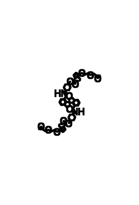 O=C(OC1CCC(NC(=O)c2cccc3c2C2(CC3)CCc3cccc(C(=O)NC4CCC(OC(=O)c5ccc(OCCOCC6CO6)s5)CC4)c32)CC1)c1ccc(OCCOCC2CO2)s1